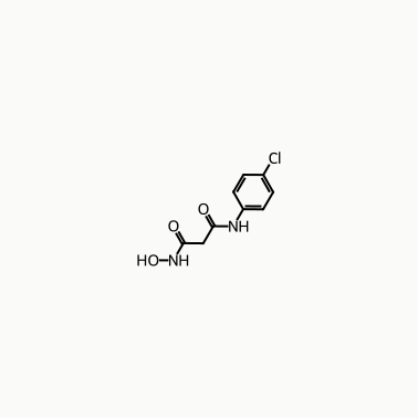 O=C(CC(=O)Nc1ccc(Cl)cc1)NO